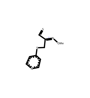 CO/N=C(/[C]=S)CSc1ccncc1